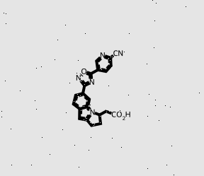 N#Cc1ccc(-c2nc(-c3ccc4cc5n(c4c3)C(CC(=O)O)CC5)no2)cn1